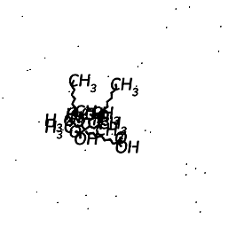 CCCCCCCON1C(C)(C)CC(C(CCCCCCCC(=O)O)(C(=O)O)C2CC(C)(C)N(OCCCCCCC)C(C)(C)C2)CC1(C)C